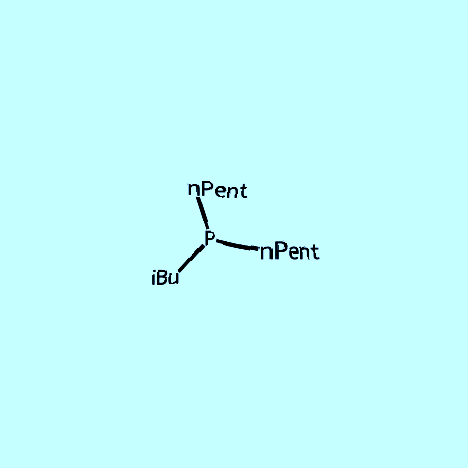 CCCCCP(CCCCC)C(C)CC